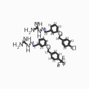 N=C(N)N/N=C/c1cccc(OCc2ccc(C(F)(F)F)cc2)c1.N=C(N)N/N=C/c1cccc(OCc2ccc(Cl)cc2)c1